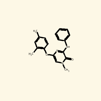 Cc1ccc(Oc2cn(C)c(=O)c(Nc3ccccc3)n2)c(C)c1